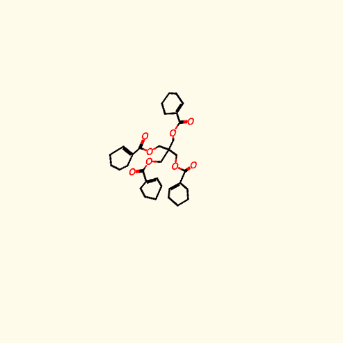 O=C(OCC(COC(=O)C1=CCCCC1)(COC(=O)C1=CCCCC1)COC(=O)C1=CCCCC1)C1=CCCCC1